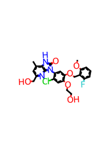 COc1cccc(F)c1COc1cc(-n2c(=O)[nH]c3c(C)cc(CO)nc32)c(Cl)cc1OCCO